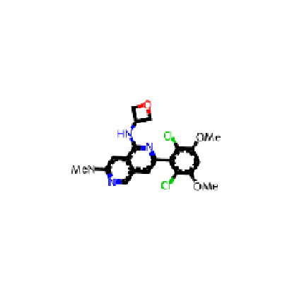 CNc1cc2c(NC3COC3)nc(-c3c(Cl)c(OC)cc(OC)c3Cl)cc2cn1